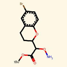 CC(C)(C)OC(=O)C(ON)C1CCc2cc(Br)ccc2O1